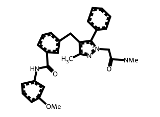 CNC(=O)Cn1nc(C)c(Cc2cccc(C(=O)Nc3cccc(OC)c3)c2)c1-c1ccccc1